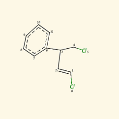 Cl/C=C/C(CCl)c1ccccc1